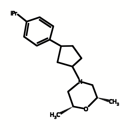 CC(C)c1ccc(C2CCC(N3C[C@@H](C)O[C@@H](C)C3)C2)cc1